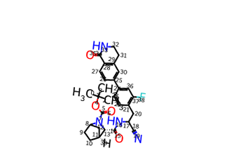 CC(C)(C)OC(=O)N1C2CC[C@@H](C2)[C@H]1C(=O)NC(C#N)Cc1ccc(-c2ccc3c(c2)CCNC3=O)cc1F